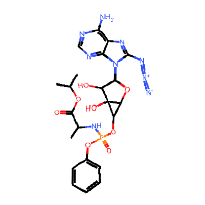 CC(C)OC(=O)C(C)NP(=O)(Oc1ccccc1)OC1C2OC(n3c(N=[N+]=[N-])nc4c(N)ncnc43)C(O)C21O